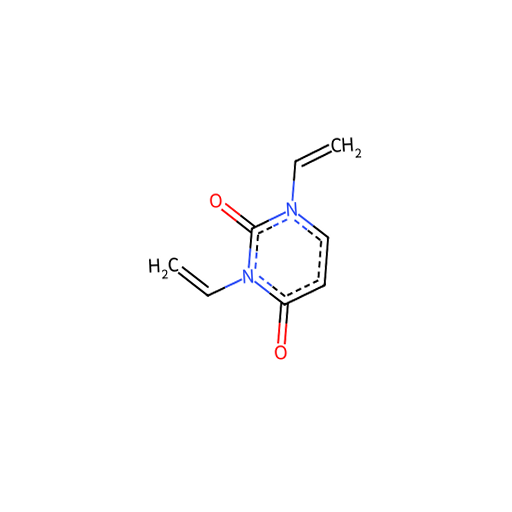 C=Cn1ccc(=O)n(C=C)c1=O